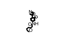 COc1cc(NC(=O)CC2CCCCO2)ccc1-c1cnco1